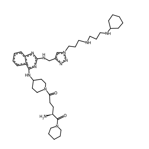 N[C@@H](CCC(=O)N1CCC(Nc2nc(NCc3cn(CCCNCCCNC4CCCCC4)nn3)nc3ccccc23)CC1)C(=O)N1CCCCC1